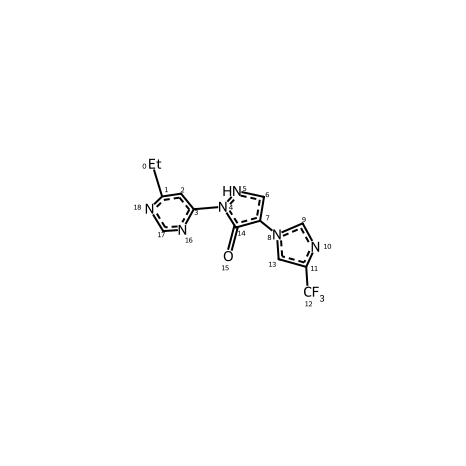 CCc1cc(-n2[nH]cc(-n3cnc(C(F)(F)F)c3)c2=O)ncn1